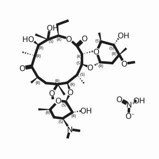 CC[C@H]1OC(=O)[C@H](C)[C@@H](O[C@H]2C[C@@](C)(OC)[C@@H](O)[C@H](C)O2)[C@H](C)[C@@H](O[C@@H]2O[C@H](C)C[C@H](N(C)C)[C@H]2O)[C@](C)(OC)C[C@@H](C)C(=O)[C@H](C)[C@@H](O)[C@]1(C)O.O=[N+]([O-])O